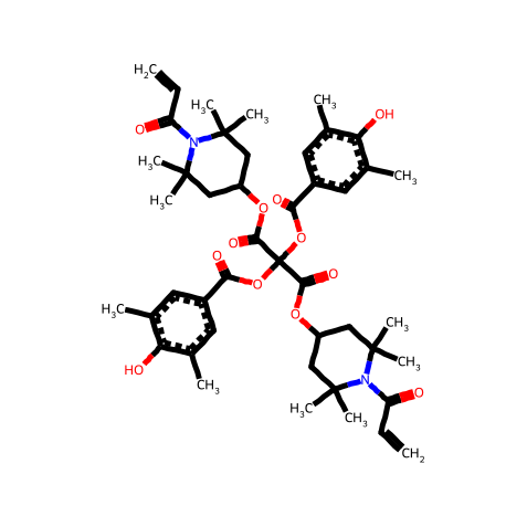 C=CC(=O)N1C(C)(C)CC(OC(=O)C(OC(=O)c2cc(C)c(O)c(C)c2)(OC(=O)c2cc(C)c(O)c(C)c2)C(=O)OC2CC(C)(C)N(C(=O)C=C)C(C)(C)C2)CC1(C)C